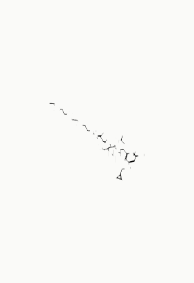 CCC[C@@H](NC(=O)[C@]1(N)CSC(/C(C)=N/OCCOCCOCCOCC)=N1)c1cc(OCC2CC2)cc(=O)o1